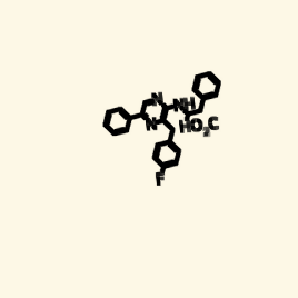 O=C(O)C(Cc1ccccc1)Nc1ncc(-c2ccccc2)nc1Cc1ccc(F)cc1